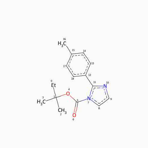 CCC(C)(C)OC(=O)n1ccnc1-c1ccc(C)cc1